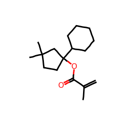 C=C(C)C(=O)OC1(C2CCCCC2)CCC(C)(C)C1